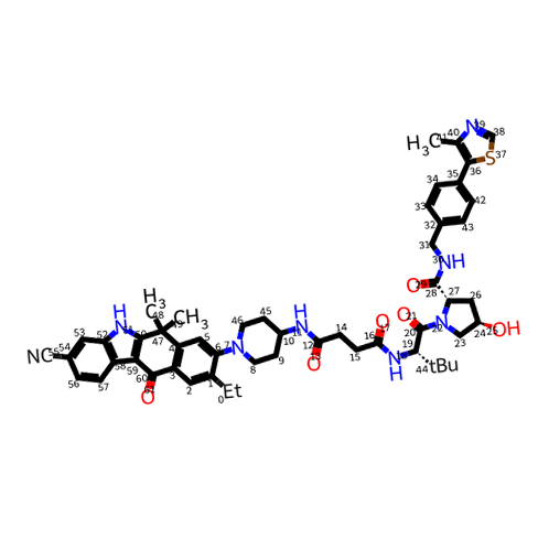 CCc1cc2c(cc1N1CCC(NC(=O)CCC(=O)N[C@H](C(=O)N3C[C@H](O)C[C@H]3C(=O)NCc3ccc(-c4scnc4C)cc3)C(C)(C)C)CC1)C(C)(C)c1[nH]c3cc(C#N)ccc3c1C2=O